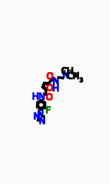 CN(C)CCNC(=O)c1ccc(C(=O)Nc2ccc(-n3cncn3)c(F)c2)o1